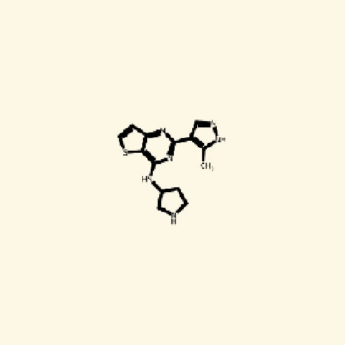 Cc1[nH]ncc1-c1nc(NC2CCNC2)c2sccc2n1